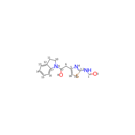 O=CNc1nc(CC(=O)N2CCc3cc[c]cc32)cs1